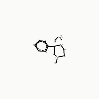 CC[C@@]1(c2ccccc2)CN(C)CC[S@@+]1[O-]